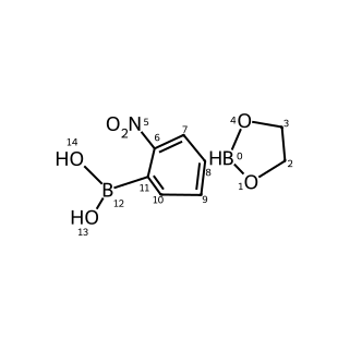 B1OCCO1.O=[N+]([O-])c1ccccc1B(O)O